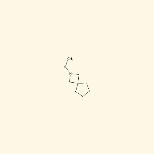 CSN1CC2(CCCC2)C1